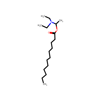 CCCCCCCCCCCC(=O)OC(C)N(CC)CC